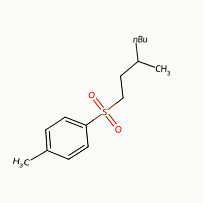 CCCCC(C)CCS(=O)(=O)c1ccc(C)cc1